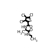 CCNC(=O)[C@H](C)NC(=O)c1sc(Cl)c(Cl)c1Cl